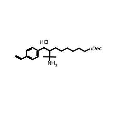 C=Cc1ccc(CC(CCCCCCCCCCCCCCCC)C(C)(C)N)cc1.Cl